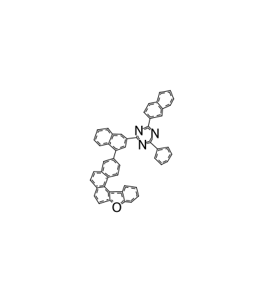 c1ccc(-c2nc(-c3ccc4ccccc4c3)nc(-c3cc(-c4ccc5c(ccc6ccc7oc8ccccc8c7c65)c4)c4ccccc4c3)n2)cc1